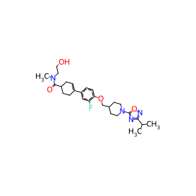 CC(C)c1noc(N2CCC(COc3ccc(C4=CCC(C(=O)N(C)CCO)CC4)cc3F)CC2)n1